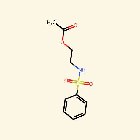 CC(=O)OCCNS(=O)(=O)c1ccccc1